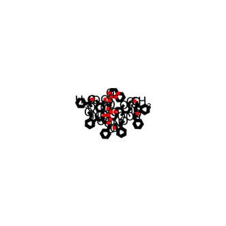 COC1OC(COC(=O)c2ccccc2)C(O[C@H]2OC(COC(=O)c3ccccc3)[C@H](OC3OC(COC(=O)c4ccccc4)C(OC)[C@H](OC(=O)c4ccccc4)[C@@H]3N3C(=O)c4ccccc4C3=O)C(OC(=O)c3ccccc3)[C@H]2N2C(=O)c3ccccc3C2=O)[C@H](OC(=O)c2ccccc2)[C@@H]1N1C(=O)c2ccccc2C1=O